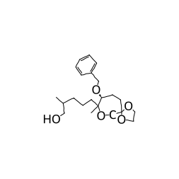 CC(CO)CCCC1(C)OCC2(CC[C@@H]1OCc1ccccc1)OCCO2